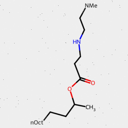 CCCCCCCCCCC(C)OC(=O)CCNCCNC